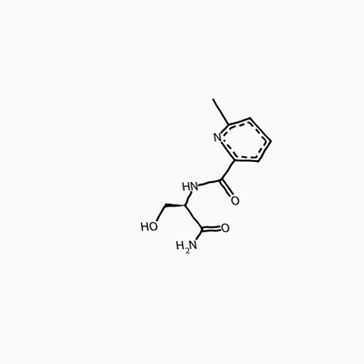 Cc1cccc(C(=O)N[C@H](CO)C(N)=O)n1